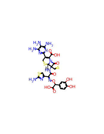 Nc1nc(/C(=N/OC(C(=O)O)c2ccc(O)c(O)c2)C(=O)NC2(C=S)C(=O)N3C(C(=O)O)=C(c4nc(N)c(N)c(N)n4)CS[C@H]32)cs1